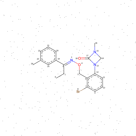 CC/C(=N\OCc1c(Br)cccc1N1CN(C)C1=O)c1cccc(C)c1